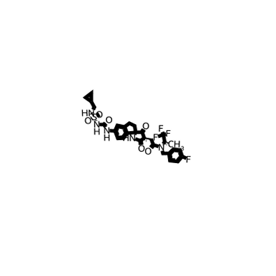 C[C@H](N(Cc1ccc(F)cc1)C(=O)C[C@H]1C(=O)NC2(CCc3cc(NC(=O)NS(=O)(=O)NCC4CC4)ccc32)C1=O)C(F)(F)F